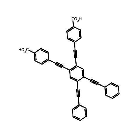 O=C(O)c1ccc(C#Cc2cc(C#Cc3ccccc3)c(C#Cc3ccccc3)cc2C#Cc2ccc(C(=O)O)cc2)cc1